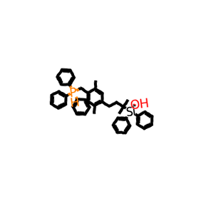 Cc1cc(C[PH](c2ccccc2)(c2ccccc2)c2ccccc2)c(C)cc1CCC(C)(C)[Si](O)(c1ccccc1)c1ccccc1